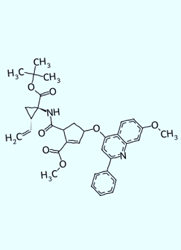 C=C[C@@H]1C[C@]1(NC(=O)C1CC(Oc2cc(-c3ccccc3)nc3cc(OC)ccc23)C=C1C(=O)OC)C(=O)OC(C)(C)C